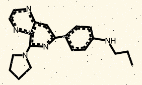 CCCNc1ccc(-c2cc3nccnc3c(N3CCCC3)n2)cc1